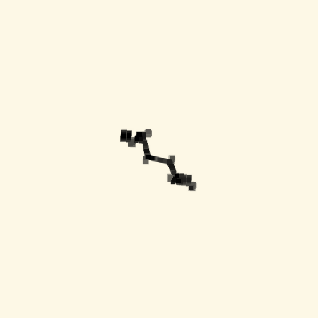 [AlH2][CH2][CH2][AlH2]